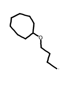 [CH2]CCCOC1CCCCCCC1